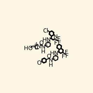 COc1ccc(C(=O)N[C@@H]2CCC[C@H](Nc3cc(C(F)(F)F)cc4ccccc34)C2)cc1.C[C@@H]1[C@H](CO)CCN1C(=O)N[C@@H]1CCC[C@H](Nc2cc(C(F)(F)F)nc3ccc(Cl)cc23)C1